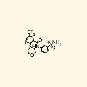 NS(=O)(=O)c1cccc(NC(=O)c2cc(C(F)(F)F)cnc2N2CCOCC2)c1